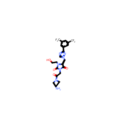 NC1CN(C(=O)CN2C(=O)/C(=C/n3cnc(-c4cc(C(F)(F)F)cc(C(F)(F)F)c4)n3)N(CCO)C2=O)C1